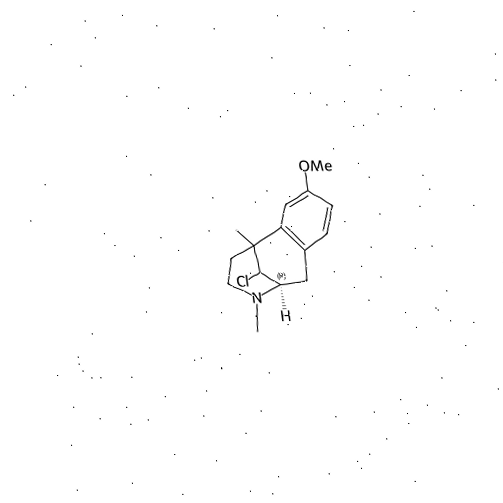 COc1ccc2c(c1)C1(C)CCN(C)[C@H](C2)C1Cl